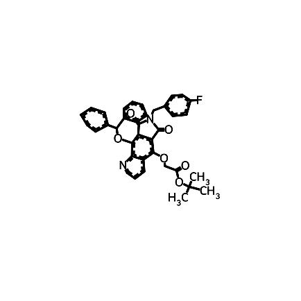 CC(C)(C)OC(=O)COc1c2c(c(OC(c3ccccc3)c3ccccc3)c3ncccc13)C(=O)N(Cc1ccc(F)cc1)C2=O